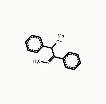 CN=C(c1ccccc1)C(O)c1ccccc1.[Mn]